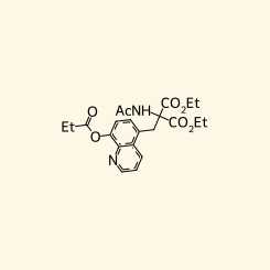 CCOC(=O)C(Cc1ccc(OC(=O)CC)c2ncccc12)(NC(C)=O)C(=O)OCC